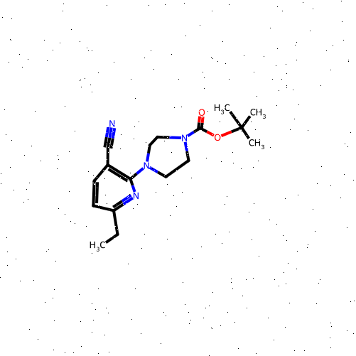 CCc1ccc(C#N)c(N2CCN(C(=O)OC(C)(C)C)CC2)n1